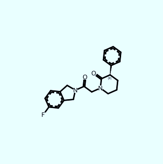 O=C(CN1CCC[C@H](c2ccccc2)C1=O)N1Cc2ccc(F)cc2C1